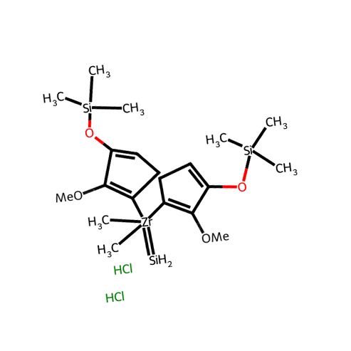 COC1=[C]([Zr]([CH3])([CH3])(=[SiH2])[C]2=C(OC)C(O[Si](C)(C)C)=CC2)CC=C1O[Si](C)(C)C.Cl.Cl